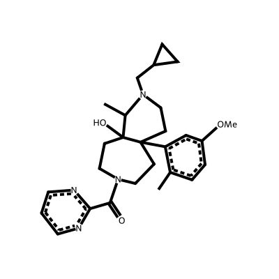 COc1ccc(C)c(C23CCN(C(=O)c4ncccn4)CCC2(O)C(C)N(CC2CC2)CC3)c1